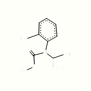 Cc1ccccc1N(C(=O)OC(C)(C)C)[C@H](C)C(=O)O